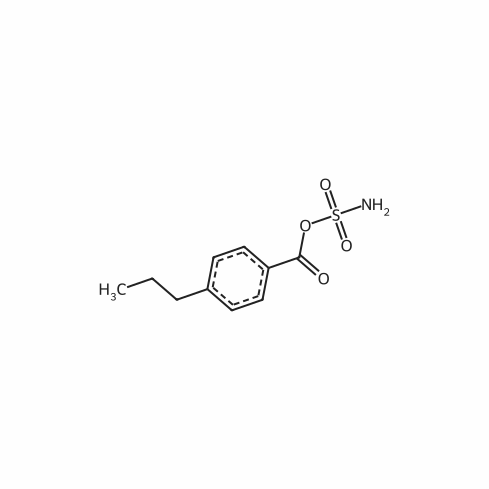 CCCc1ccc(C(=O)OS(N)(=O)=O)cc1